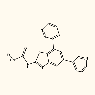 CCNC(=O)Nc1nc2cc(-c3cccnc3)cc(-c3cccnn3)c2s1